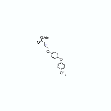 COC(=O)/C=C/COc1ccc(Oc2ccc(C(F)(F)F)cc2)cc1